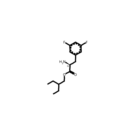 CCC(CC)COC(=O)[C@@H](N)Cc1cc(F)cc(F)c1